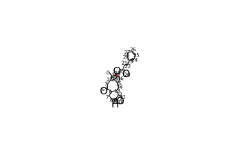 CC1=C2CC(=O)C3CC[C@H]4OCC4C3CC(CC1OC(=O)CCc1ccccc1)C2(C)C